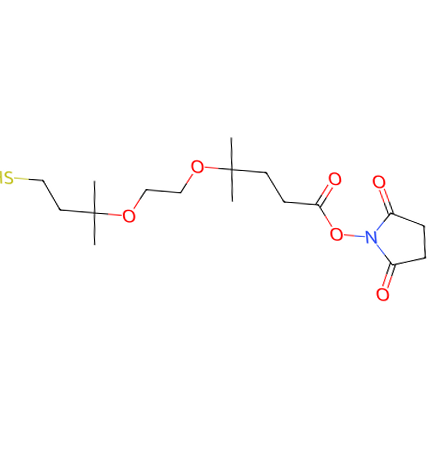 CC(C)(CCS)OCCOC(C)(C)CCC(=O)ON1C(=O)CCC1=O